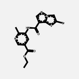 CCOC(=O)c1cnc(C)c(NC(=O)c2cnn3cc(Br)sc23)c1